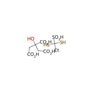 CCC(S)(S)S(=O)(=O)O.O=C(O)CC(O)(CC(=O)O)C(=O)O